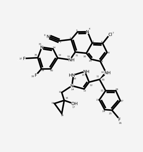 N#Cc1cnc2c(Cl)cc(N[C@H](C3=CN(CC4(O)CC4)NN3)c3ccc(F)cc3)cc2c1Nc1cnc(F)c(F)c1